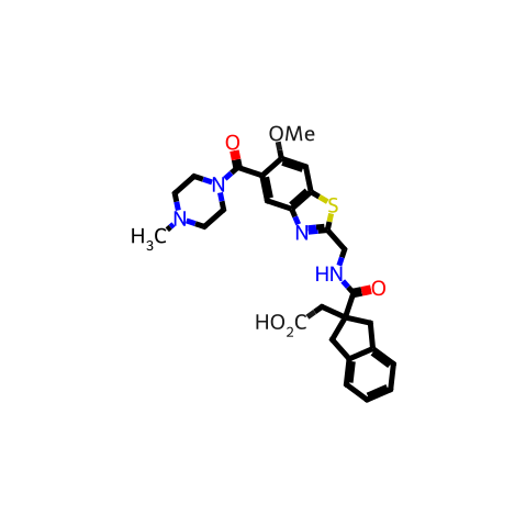 COc1cc2sc(CNC(=O)C3(CC(=O)O)Cc4ccccc4C3)nc2cc1C(=O)N1CCN(C)CC1